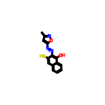 Cc1cc(/N=N/c2c(S)cc3ccccc3c2O)on1